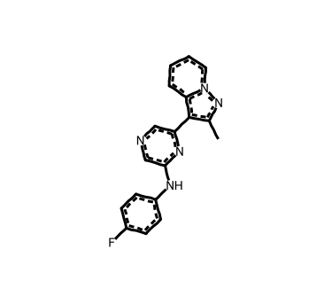 Cc1nn2ccccc2c1-c1cncc(Nc2ccc(F)cc2)n1